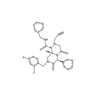 C#CCN1CC(=O)N2[C@@H](c3ccccc3)C(=O)N(Cc3ccc(F)cc3F)C[C@@H]2N1C(=O)NCc1ccccc1